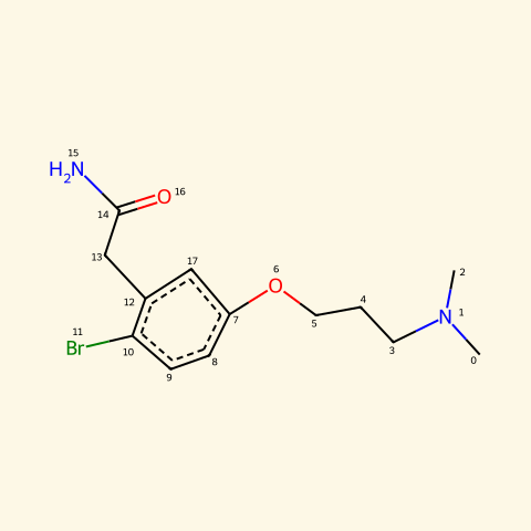 CN(C)CCCOc1ccc(Br)c(CC(N)=O)c1